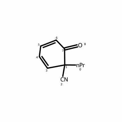 CCCC1(C#N)C=CC=CC1=O